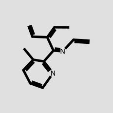 C=C/N=C(\C(C=C)=C/C)c1ncccc1C